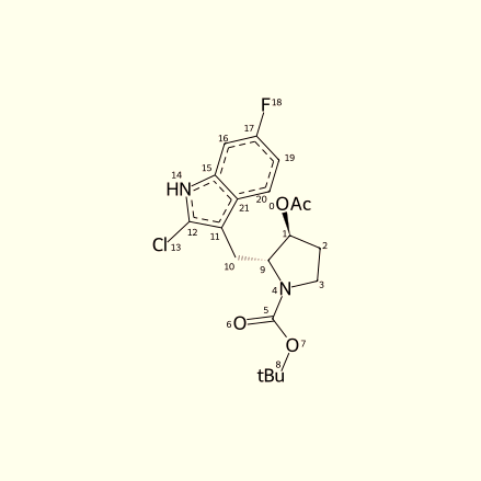 CC(=O)O[C@H]1CCN(C(=O)OC(C)(C)C)[C@@H]1Cc1c(Cl)[nH]c2cc(F)ccc12